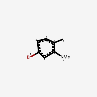 CNc1cc(Br)ccc1C